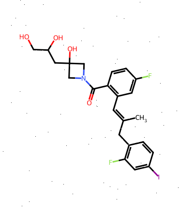 C/C(=C\c1cc(F)ccc1C(=O)N1CC(O)(CC(O)CO)C1)Cc1ccc(I)cc1F